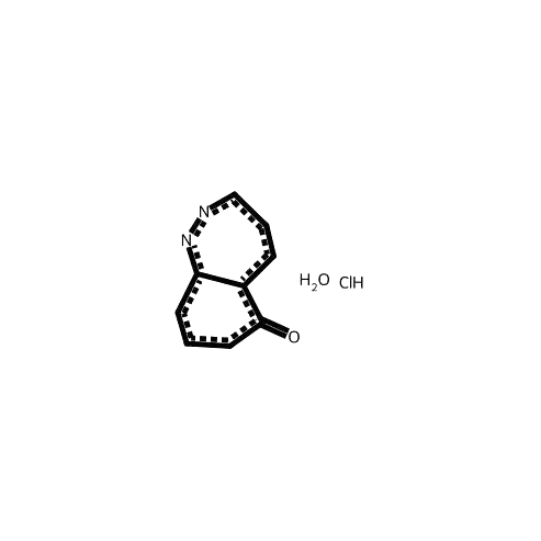 Cl.O.O=c1cccc2nncccc1-2